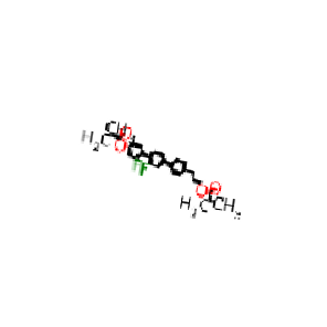 C=C(C)C(=O)OCCCc1ccc(-c2ccc(-c3ccc(OC(=O)C(=C)C)cc3F)c(F)c2)cc1